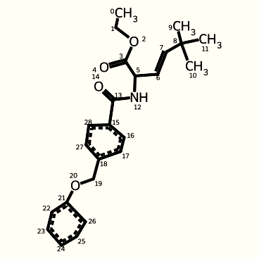 CCOC(=O)C(C=CC(C)(C)C)NC(=O)c1ccc(COc2ccccc2)cc1